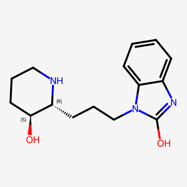 Oc1nc2ccccc2n1CCC[C@H]1NCCC[C@@H]1O